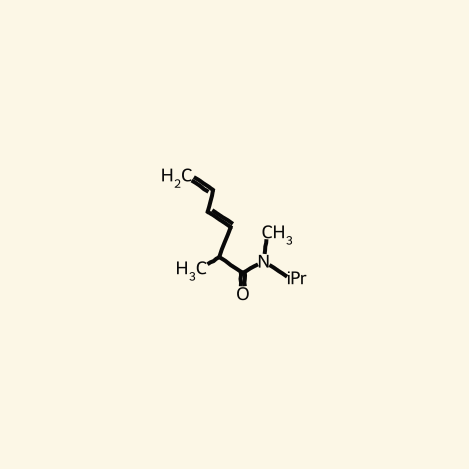 C=CC=CC(C)C(=O)N(C)C(C)C